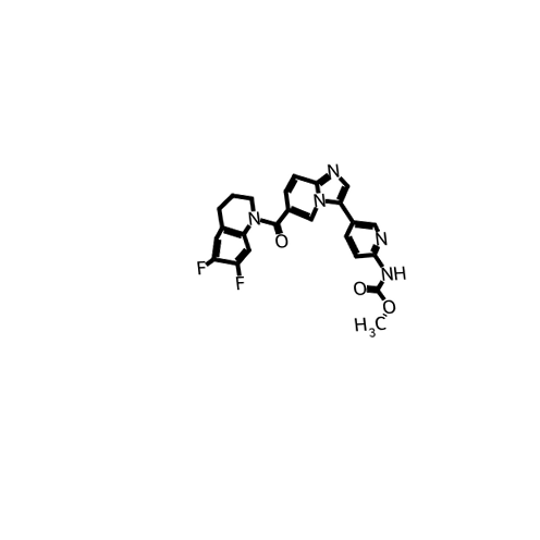 COC(=O)Nc1ccc(-c2cnc3ccc(C(=O)N4CCCc5cc(F)c(F)cc54)cn23)cn1